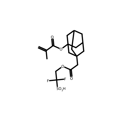 C=C(C)C(=O)OC12CC3CC(CC(CC(=O)OCC(F)(F)S(=O)(=O)O)(C3)C1)C2